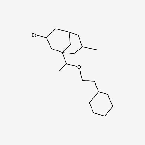 CCC1CC2CC(C)CC(C(C)OCCC3CCCCC3)(C1)C2